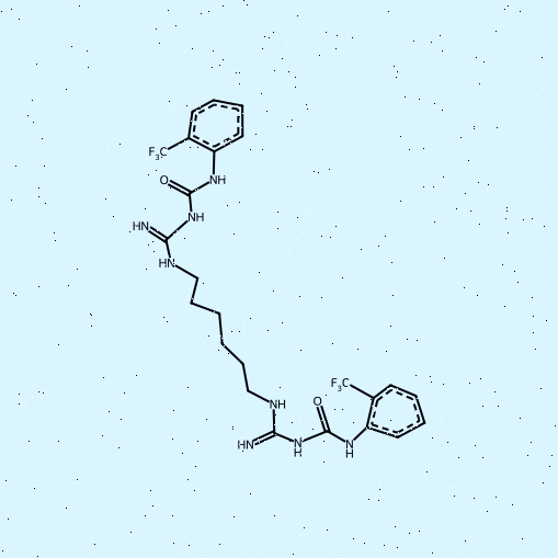 N=C(NCCCCCCNC(=N)NC(=O)Nc1ccccc1C(F)(F)F)NC(=O)Nc1ccccc1C(F)(F)F